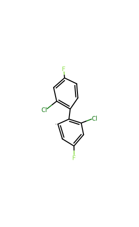 Fc1c[c]c(-c2ccc(F)cc2Cl)c(Cl)c1